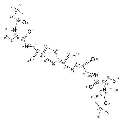 CC(C)(C)OC(=O)N1CSC[C@H]1C(=O)NCC(=O)c1ccc(-c2ccc(C(=O)CNC(=O)[C@@H]3CSCN3C(=O)OC(C)(C)C)cc2)cc1